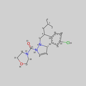 CC(C)CC(CN1CC=CN1C(=O)N1CCOCC1)c1ccc(Cl)cc1